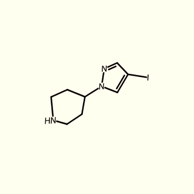 Ic1cnn(C2CCNCC2)c1